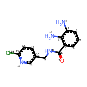 Nc1cccc(C(=O)NCc2ccc(Cl)nc2)c1N